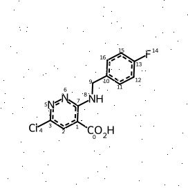 O=C(O)c1cc(Cl)nnc1NCc1ccc(F)cc1